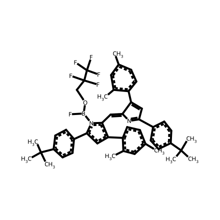 Cc1ccc(C2=CC(c3ccc(C(C)(C)C)cc3)=N/C2=C\c2c(-c3ccc(C)cc3C)cc(-c3ccc(C(C)(C)C)cc3)n2B(F)OCC(F)(F)C(F)(F)F)c(C)c1